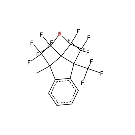 CC1(C(F)(F)F)c2ccccc2C(C(F)(F)F)(C(F)(F)F)C1(C(F)(F)F)C(F)(F)F